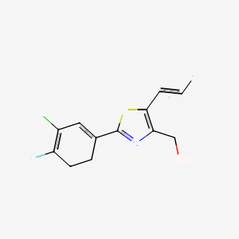 C/C=C/c1sc(C2=CC(Cl)=C(F)CC2)nc1CO